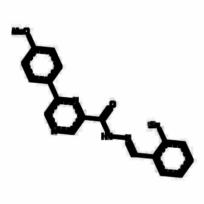 COc1ccc(-c2cncc(C(=O)NN=Cc3ccccc3C(C)(C)C)n2)cc1